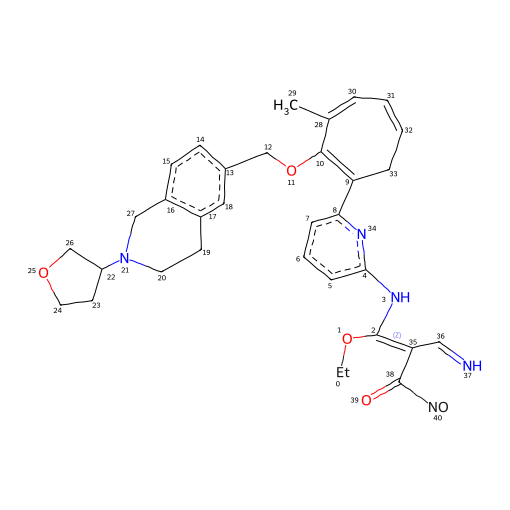 CCO/C(Nc1cccc(C2=C(OCc3ccc4c(c3)CCN(C3CCOC3)C4)C(C)=CC=CC2)n1)=C(/C=N)C(=O)N=O